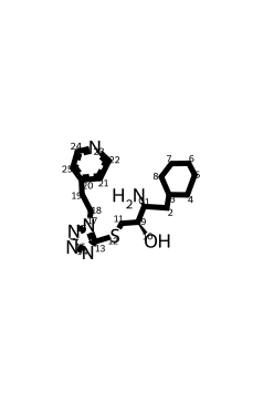 N[C@@H](CC1CCCCC1)[C@@H](O)CSc1nnnn1CCc1ccncc1